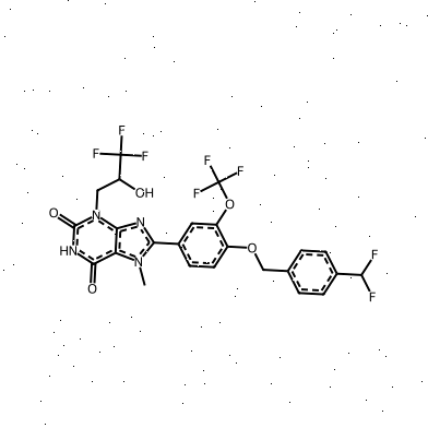 Cn1c(-c2ccc(OCc3ccc(C(F)F)cc3)c(OC(F)(F)F)c2)nc2c1c(=O)[nH]c(=O)n2CC(O)C(F)(F)F